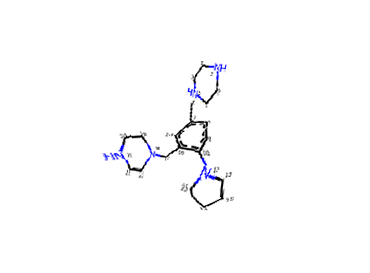 C1CNCCN1.Cc1ccc(N2CCCC2)c(CN2CCNCC2)c1